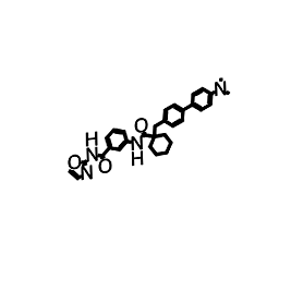 CN(C)c1ccc(-c2ccc(CC3(C(=O)Nc4cccc(C(=O)Nc5ncco5)c4)CCCCC3)cc2)cc1